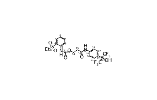 CCS(=O)(=O)c1ccccc1NC(=O)OCCC(=O)Nc1ccc(C(O)(C(F)(F)F)C(F)(F)F)cc1